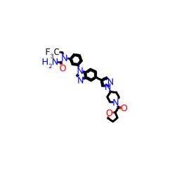 NC(=O)N(CC(F)(F)F)c1cccc(-n2cnc3cc(-c4cnn(C5CCN(C(=O)C6CCCO6)CC5)c4)ccc32)c1